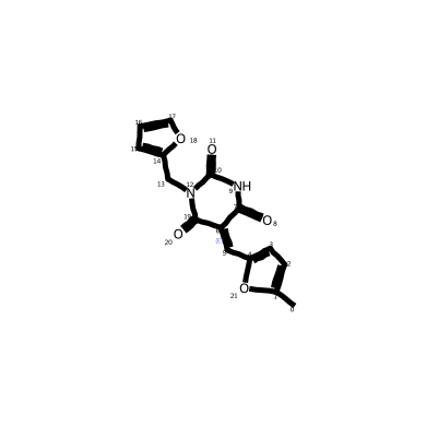 Cc1ccc(/C=C2\C(=O)NC(=O)N(Cc3ccco3)C2=O)o1